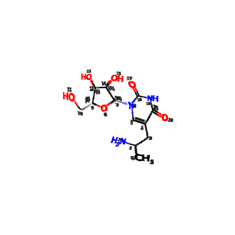 CC(N)Cc1cn([C@@H]2O[C@H](CO)[C@@H](O)[C@H]2O)c(=O)[nH]c1=O